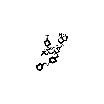 COc1ccc(S(=O)(=O)N(CC(C)C)C[C@@H](O)[C@H](Cc2ccc(OCc3ccccc3)cc2)NC(=O)OC2CO[C@H]3OCCC23)cc1